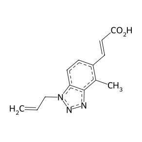 C=CCn1nnc2c(C)c(/C=C/C(=O)O)ccc21